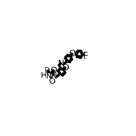 COc1ccc(CN2C(=O)NC(=O)C2=O)cc1CN(C)Cc1ccc(Oc2ccc(F)cc2)cc1